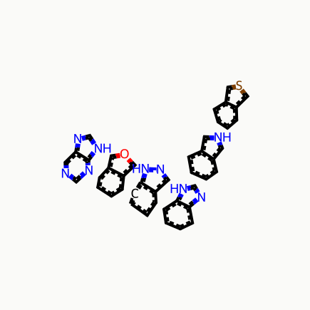 c1ccc2[nH]cnc2c1.c1ccc2[nH]ncc2c1.c1ccc2c[nH]cc2c1.c1ccc2cocc2c1.c1ccc2cscc2c1.c1ncc2nc[nH]c2n1